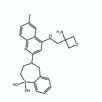 Cc1ccc2nc(N3CCS(O)(O)c4ccccc4C3)cc(NCC3(N)COC3)c2c1